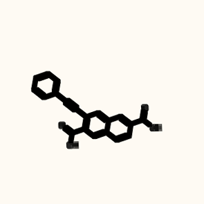 O=C(O)c1ccc2cc(C(=O)O)c(C#Cc3ccccc3)cc2c1